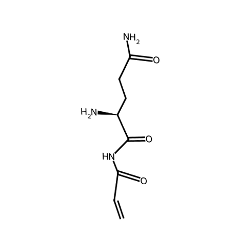 C=CC(=O)NC(=O)[C@@H](N)CCC(N)=O